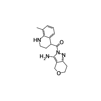 Cc1cccc2c1NCCC2C(=O)n1nc2c(c1N)COCC2